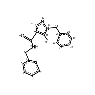 O=C(NCc1ccccc1)c1nnn(Cc2ccccc2)c1I